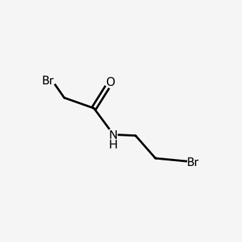 O=C(CBr)NCCBr